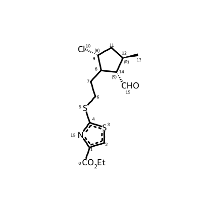 CCOC(=O)c1csc(SCCC2[C@H](Cl)C[C@@H](C)[C@@H]2C=O)n1